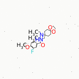 CCN(CC)C1(CNC(=O)c2ccc(OC)c(F)c2)CCC2(CC1)OCCO2